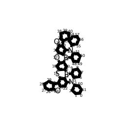 c1ccc(N2c3ccccc3B3c4cc5c(cc4Sc4c3c2cc2oc3ccccc3c42)Oc2cc3oc4ccccc4c3c3c2B5c2ccccc2N3c2ccccc2)cc1